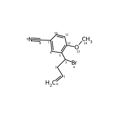 C=CCC(Br)c1cc(C#N)ccc1OC